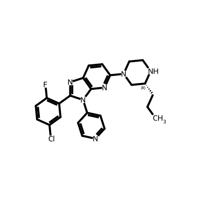 CCC[C@@H]1CN(c2ccc3nc(-c4cc(Cl)ccc4F)n(-c4ccncc4)c3n2)CCN1